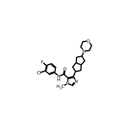 Cn1cnc(C2CC3CC(N4CCOCC4)CC3C2)c1C(=O)Nc1ccc(F)c(Cl)c1